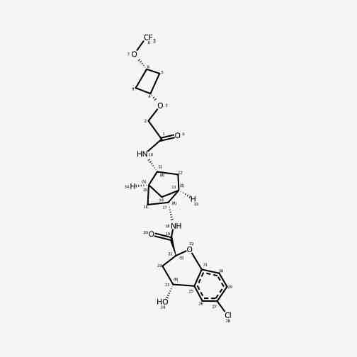 O=C(CO[C@H]1C[C@@H](OC(F)(F)F)C1)N[C@@H]1C[C@@H]2C[C@H]1C[C@H]2NC(=O)[C@@H]1C[C@@H](O)c2cc(Cl)ccc2O1